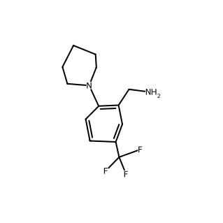 NCc1cc(C(F)(F)F)ccc1N1CCCCC1